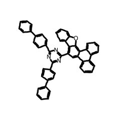 c1ccc(-c2ccc(-c3nc(-c4ccc(-c5ccccc5)cc4)nc(-c4cc5c6ccccc6c6ccccc6c5c5oc6ccccc6c45)n3)cc2)cc1